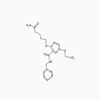 NC(=O)CCCCOc1ccc(OCC(F)(F)F)cc1C(=O)NCc1ccccn1